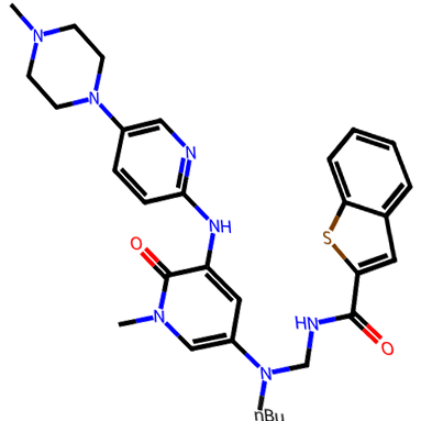 CCCCN(CNC(=O)c1cc2ccccc2s1)c1cc(Nc2ccc(N3CCN(C)CC3)cn2)c(=O)n(C)c1